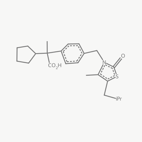 Cc1c(CC(C)C)sc(=O)n1Cc1ccc(C(C)(C(=O)O)C2CCCC2)cc1